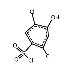 O=S(=O)(Cl)c1cc(Cl)c(O)cc1Cl